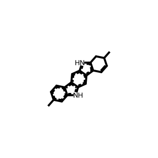 Cc1ccc2c(c1)[nH]c1cc3c4c([nH]c3cc12)CC(C)C=C4